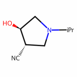 CC(C)N1C[C@H](O)[C@@H](C#N)C1